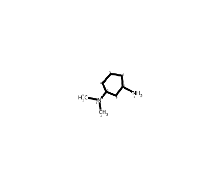 CN(C)C1CCCC(N)C1